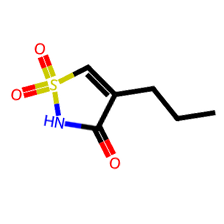 CCCC1=CS(=O)(=O)NC1=O